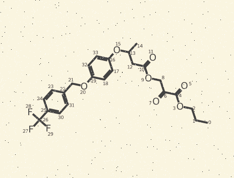 CCCOC(=O)C(=O)COC(=O)CC(C)Oc1ccc(OCc2ccc(C(F)(F)F)cc2)cc1